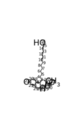 C[C@]12C[C@H](CCCCCCCCCCCCO)C3=C4CCC(=O)C=C4CC[C@H]3[C@@H]1CCC2=O